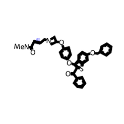 CNC(=O)/C=C/CN1CC(Oc2ccc(Oc3c(C(=O)c4ccccc4)sc4cc(OCc5ccccc5)ccc34)cc2)C1